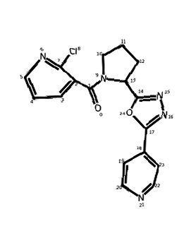 O=C(c1cccnc1Cl)N1CCCC1c1nnc(-c2ccncc2)o1